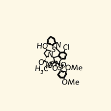 COc1ccc(S(=O)(=O)N2C(=O)C(N3C[C@H](O)C[C@H]3C(=O)N(C)C)c3c2ccc(Cl)c3-c2nc3ccccc3s2)c(OC)c1